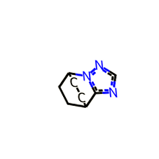 c1nc2n(n1)C1CCC2CC1